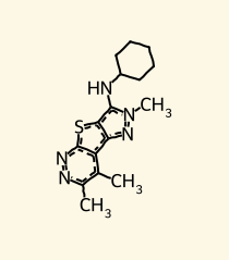 Cc1nnc2sc3c(NC4CCCCC4)n(C)nc3c2c1C